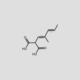 C/C=C/C(C)=C/C(C(=O)O)C(=O)O